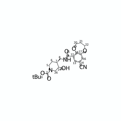 CC(C)(C)OC(=O)N1CC[C@@H](CNC(=O)c2cc(C#N)cc3c2OCCCO3)C(O)C1